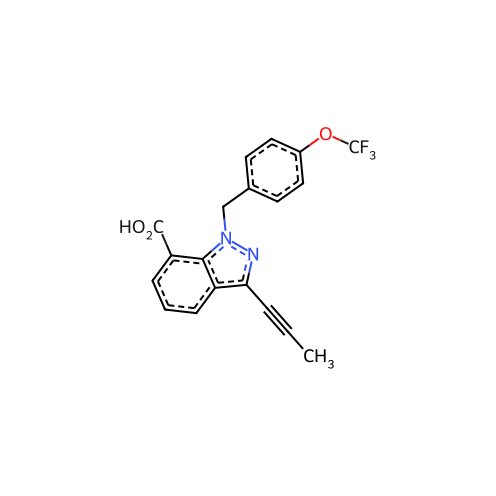 CC#Cc1nn(Cc2ccc(OC(F)(F)F)cc2)c2c(C(=O)O)cccc12